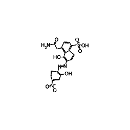 NC(=O)Cc1ccc(S(=O)(=O)O)c2ccc(N=Nc3ccc([N+](=O)[O-])cc3O)c(O)c12